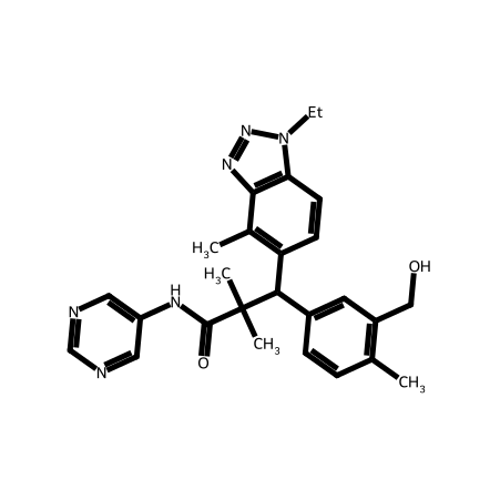 CCn1nnc2c(C)c(C(c3ccc(C)c(CO)c3)C(C)(C)C(=O)Nc3cncnc3)ccc21